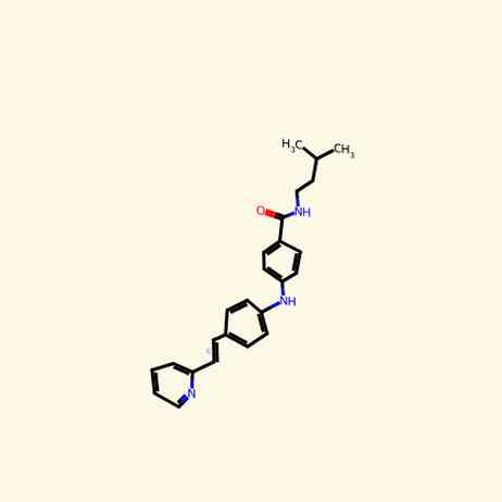 CC(C)CCNC(=O)c1ccc(Nc2ccc(/C=C/c3ccccn3)cc2)cc1